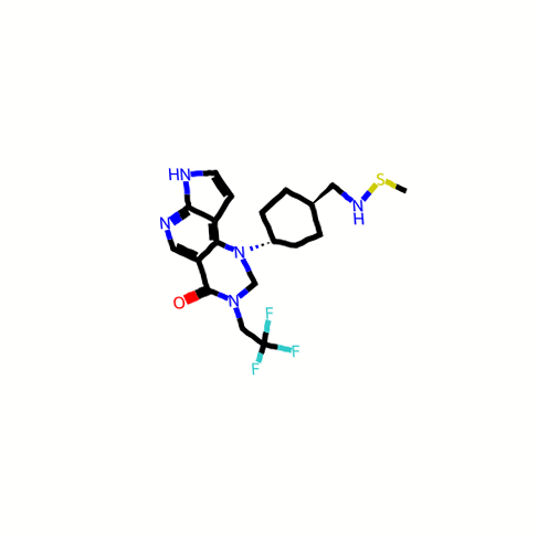 CSNC[C@H]1CC[C@H](N2CN(CC(F)(F)F)C(=O)c3cnc4[nH]ccc4c32)CC1